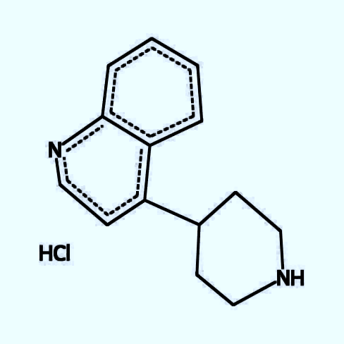 Cl.c1ccc2c(C3CCNCC3)ccnc2c1